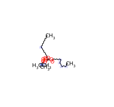 CC/C=C\C/C=C\C/C=C\C/C=C\CCCCC(=O)OC[C@H](COP(=O)([O-])OCC[N+](C)(C)C)OC(=O)CCCCCCC/C=C\CCCCCCCCC